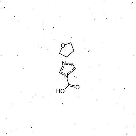 C1CCOC1.O=C(O)n1ccnc1